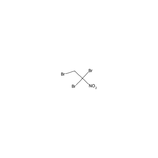 O=[N+]([O-])C(Br)(Br)CBr